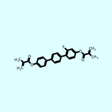 C=C(C)C(=O)Oc1ccc(-c2ccc(-c3ccc(OC(=O)C(=C)C)cc3F)cc2)cc1